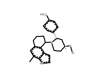 CCO[C@H]1CCN(C2CCCc3cc(C)c4[nH]ccc4c32)[C@H](c2ccc(C(=O)O)cc2)C1